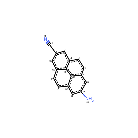 N#Cc1cc2ccc3cc(N)cc4ccc(c1)c2c34